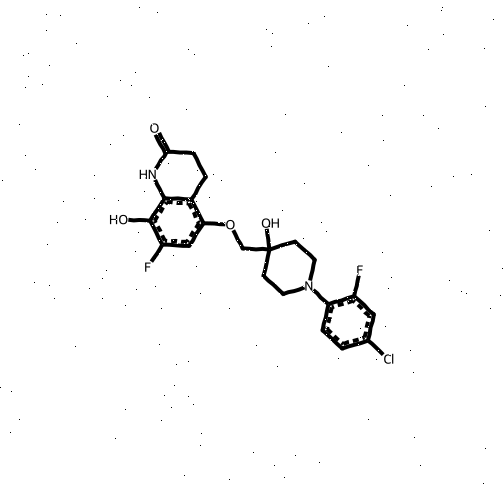 O=C1CCc2c(OCC3(O)CCN(c4ccc(Cl)cc4F)CC3)cc(F)c(O)c2N1